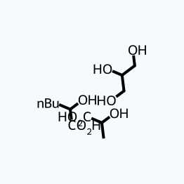 CC(O)C(=O)O.CCCCC(O)C(=O)O.OCC(O)CO